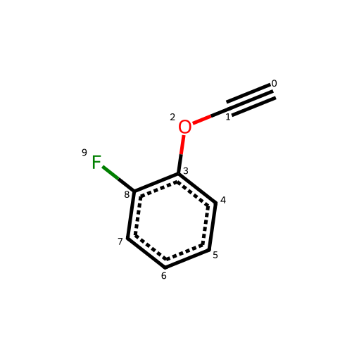 C#COc1ccccc1F